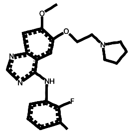 COc1cc2ncnc(Nc3cccc(C)c3F)c2cc1OCCN1CCCC1